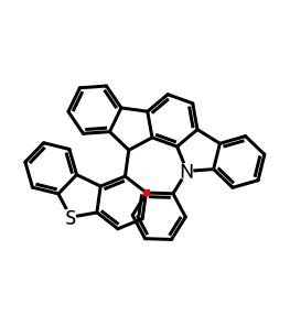 c1ccc(-n2c3ccccc3c3ccc4c(c32)C(c2cccc3sc5ccccc5c23)c2ccccc2-4)cc1